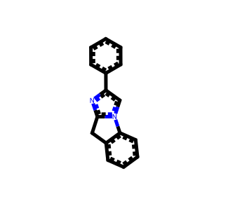 c1ccc(-c2cn3c(n2)Cc2ccccc2-3)cc1